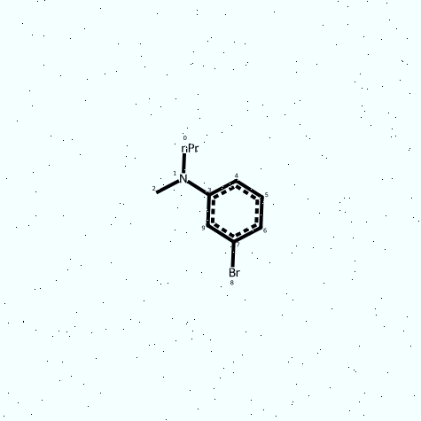 CCCN(C)c1cccc(Br)c1